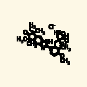 COc1cc[n+](-c2nc3cc4c(cc3[nH]2)C(C)(C)C(=O)C4(C)C)c(CC(S)(CS)C(=O)O)c1C.[Cl-]